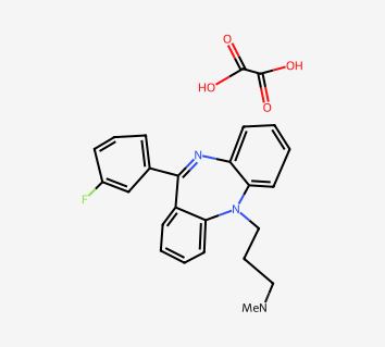 CNCCCN1c2ccccc2N=C(c2cccc(F)c2)c2ccccc21.O=C(O)C(=O)O